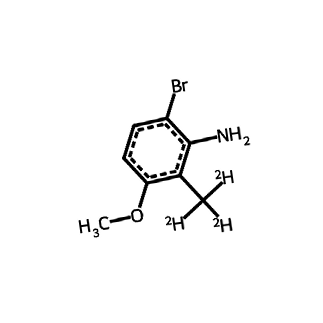 [2H]C([2H])([2H])c1c(OC)ccc(Br)c1N